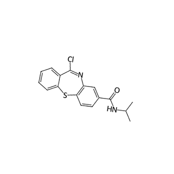 CC(C)NC(=O)c1ccc2c(c1)N=C(Cl)c1ccccc1S2